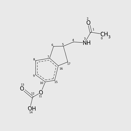 CC(=O)NCC1Cc2ccc(OC(=O)O)cc2C1